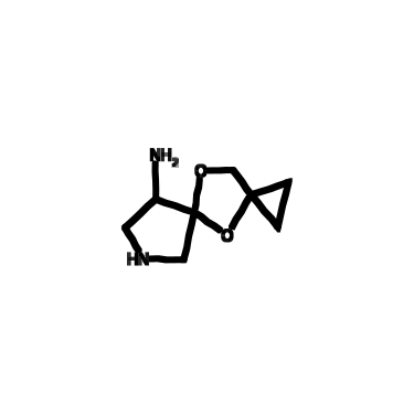 NC1CNCC12OCC1(CC1)O2